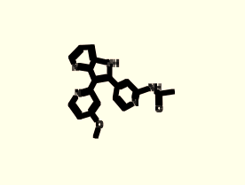 COc1ccnc(-c2c(-c3ccnc(NC(C)=O)c3)[nH]c3cccnc23)c1